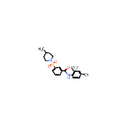 CC1CCN(S(=O)(=O)c2cccc(C(=O)Nc3ccc(C#N)cc3C(=O)O)c2)CC1